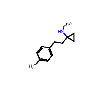 Cc1ccc(CCC2(NC=O)CC2)cc1